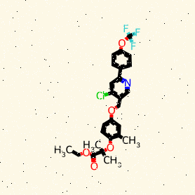 CCOC(=O)C(C)(C)Oc1ccc(OCc2cnc(-c3ccc(OC(F)(F)F)cc3)cc2Cl)cc1C